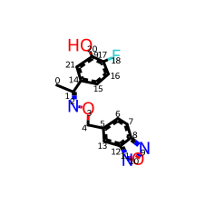 CC(=NOCc1ccc2nonc2c1)c1ccc(F)c(O)c1